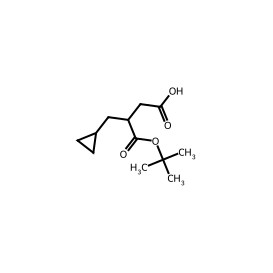 CC(C)(C)OC(=O)C(CC(=O)O)CC1CC1